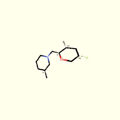 C[C@H]1CCCN(C[C@@H]2OC[C@@H](F)C[C@H]2C)C1